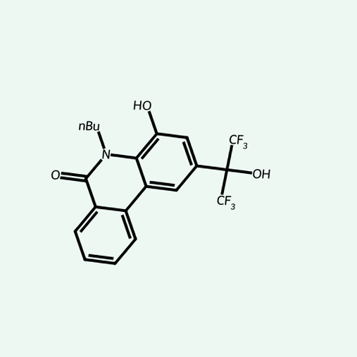 CCCCn1c(=O)c2ccccc2c2cc(C(O)(C(F)(F)F)C(F)(F)F)cc(O)c21